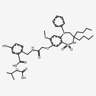 CCCCC1(CCCC)CN(c2ccccc2)c2cc(SC)c(OCC(=O)NCc3ccc(O)cc3C(=O)N[C@H](C(=O)O)C(C)C)cc2S(=O)(=O)N1